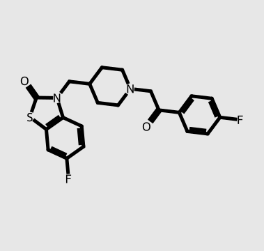 O=C(CN1CCC(Cn2c(=O)sc3cc(F)ccc32)CC1)c1ccc(F)cc1